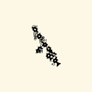 COc1ccc(CN2CCN(C3CC4(CCN(c5ccc(C(=O)NS(=O)(=O)c6ccc(NCC7CCC(C)(O)CC7)c([N+](=O)[O-])c6)c(Oc6cnc7[nH]ccc7c6)c5)CC4)C3)C(c3ccccc3C(C)C)C2)cc1C1CC1